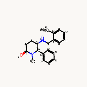 CCN1C(=O)CC[C@@H](NCc2ccccc2OC)[C@H]1c1ccccc1